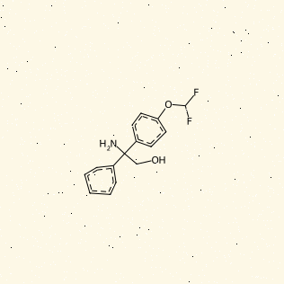 NC(CO)(c1ccccc1)c1ccc(OC(F)F)cc1